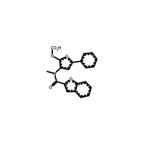 CN(C(=O)c1cc2ccccc2o1)c1cc(-c2ccccc2)sc1OC(=O)O